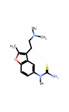 CCC(C)N(C)CCc1c(C)oc2ccc(N(C(N)=S)C(C)C)cc12